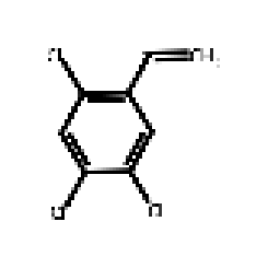 C=[C]c1cc(Cl)c(Cl)cc1Cl